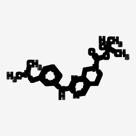 CN(C)Cc1cccc(Nc2ncc3c(n2)CN(C(=O)OC(C)(C)C)CC3)c1